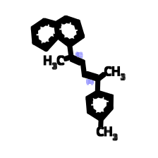 C/C(=C\C=C(/C)c1cccc2ccccc12)c1ccc(C)cc1